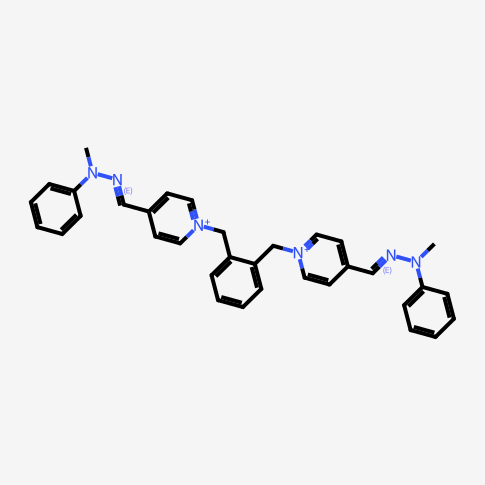 CN(/N=C/c1cc[n+](Cc2ccccc2C[n+]2ccc(/C=N/N(C)c3ccccc3)cc2)cc1)c1ccccc1